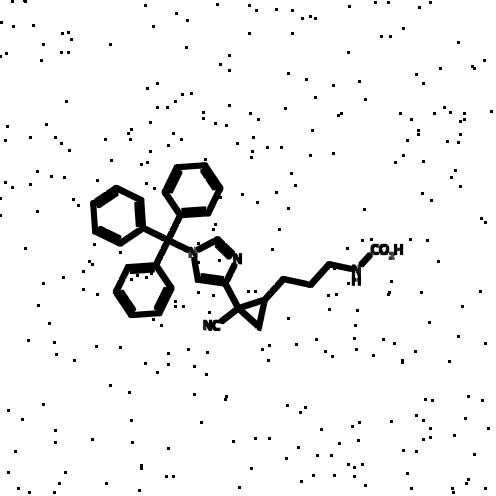 N#CC1(c2cn(C(c3ccccc3)(c3ccccc3)c3ccccc3)cn2)CC1CCCNC(=O)O